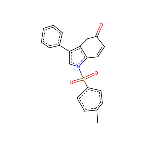 Cc1ccc(S(=O)(=O)n2cc(-c3ccccc3)c3c2C=CC(=O)C3)cc1